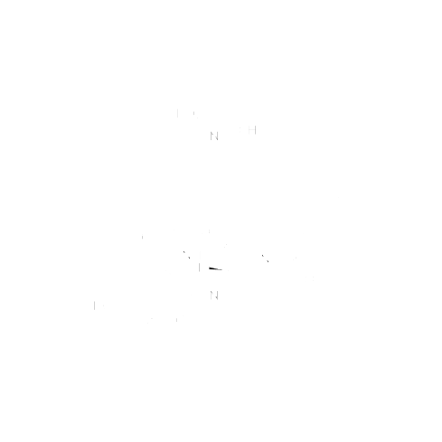 CC(C)C[C@H](NC(=O)c1ccc(N(C)C)cc1)C(=O)N1CCC2[C@H]1C(=O)CN2C(=O)c1cc2ccccc2s1